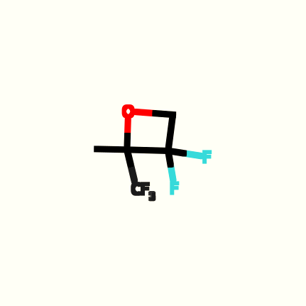 CC1(C(F)(F)F)OCC1(F)F